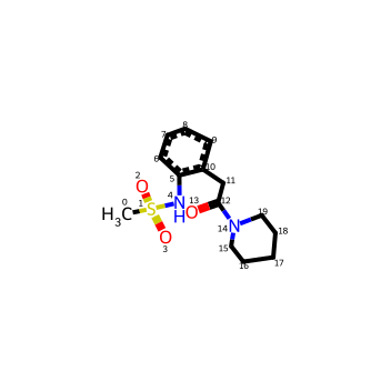 CS(=O)(=O)Nc1ccccc1CC(=O)N1CCCCC1